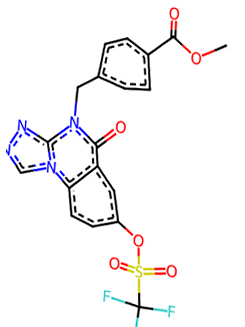 COC(=O)c1ccc(Cn2c(=O)c3cc(OS(=O)(=O)C(F)(F)F)ccc3n3cnnc23)cc1